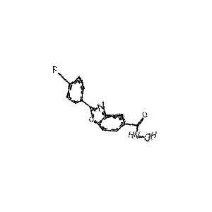 O=C(NO)c1ccc2oc(-c3ccc(F)cc3)nc2c1